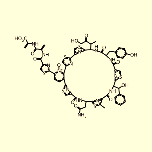 C=C(NC(=O)C(=C)NC(=O)c1csc(-c2ccc3c([n+]2[O-])-c2csc(n2)-c2csc(n2)C(C(C)C(=O)CO)NC(=O)C(Cc2ccc(O)cc2)NC(=O)c2csc(n2)C(C(O)c2ccccc2)NC(=O)c2nc(sc2C)C(CC(N)=O)NC(=O)c2csc-3n2)n1)C(=O)O